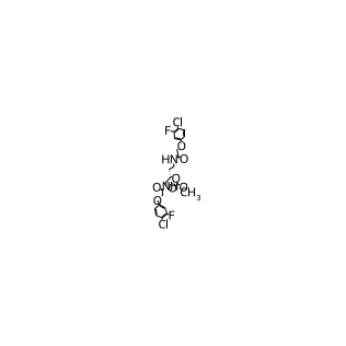 COC(=O)O[C@@H](CCNC(=O)COc1ccc(Cl)c(F)c1)CNC(=O)COc1ccc(Cl)c(F)c1